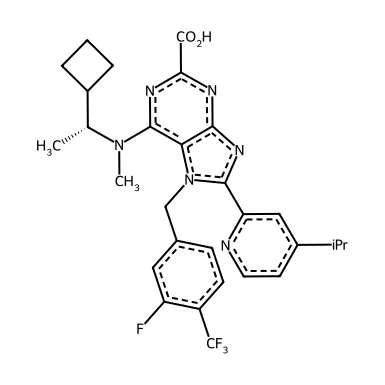 CC(C)c1ccnc(-c2nc3nc(C(=O)O)nc(N(C)[C@H](C)C4CCC4)c3n2Cc2ccc(C(F)(F)F)c(F)c2)c1